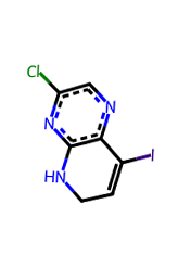 Clc1cnc2c(n1)NCC=C2I